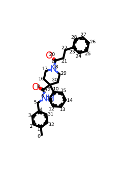 Cc1ccc(CNC(=O)C2(c3ccccc3)CCN(C(=O)CCc3ccccc3)CC2)cc1